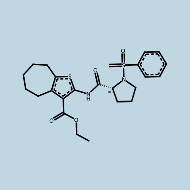 C=S(=O)(c1ccccc1)N1CCC[C@@H]1C(=O)Nc1sc2c(c1C(=O)OCC)CCCCC2